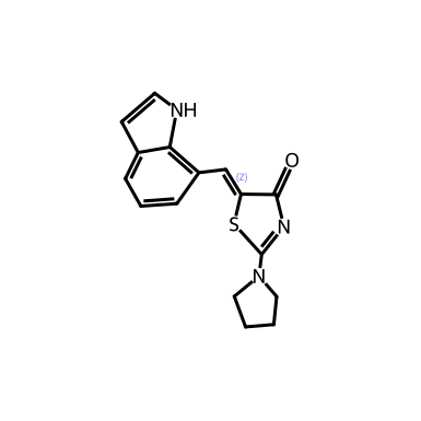 O=C1N=C(N2CCCC2)S/C1=C\c1cccc2cc[nH]c12